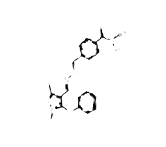 Cc1nn(C)c(Oc2ccccc2)c1C=NOCc1ccc(C(=O)N(C(C)C)C(C)C)cc1